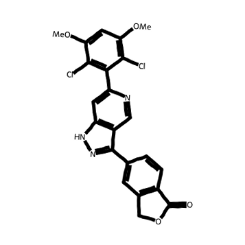 COc1cc(OC)c(Cl)c(-c2cc3[nH]nc(-c4ccc5c(c4)COC5=O)c3cn2)c1Cl